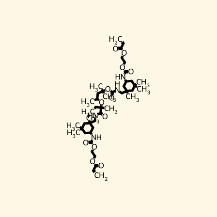 C=CC(=O)OCCOC(=O)NC1CC(C)(C)CC(C)(CNC(=O)OC(C)(C)CC(C)OC(C)(CC)C(=O)NCC2(C)CC(NC(=O)OCCOC(=O)C=C)CC(C)(C)C2)C1